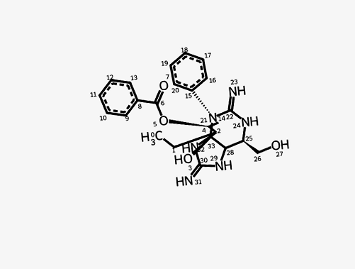 CC[C@]1(O)[C@@H](OC(=O)c2ccccc2)[C@@H](c2ccccc2)N2C(=N)N[C@@H](CO)C3NC(=N)NC321